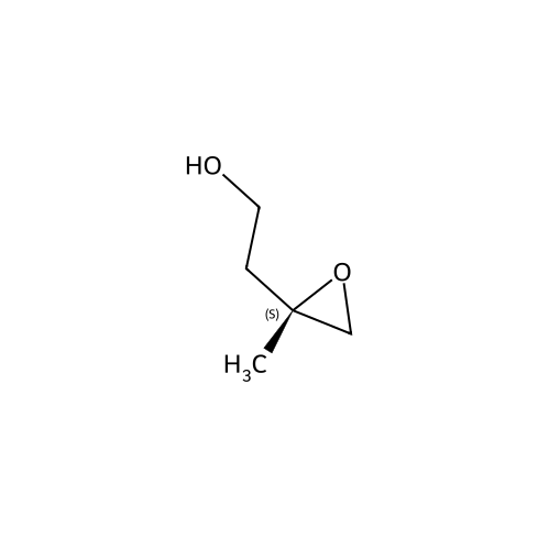 C[C@]1(CCO)CO1